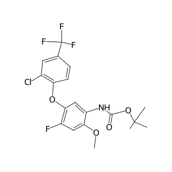 COc1cc(F)c(Oc2ccc(C(F)(F)F)cc2Cl)cc1NC(=O)OC(C)(C)C